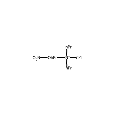 CCC[N+](CCC)(CCC)CCC.O=[N+]([O-])[O-]